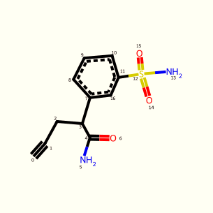 C#CCC(C(N)=O)c1cccc(S(N)(=O)=O)c1